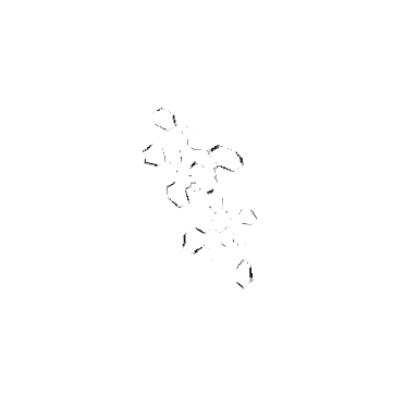 c1ccc(Oc2cc3c4c5c2c2ccccc2n5-c2cc5c(cc2B4c2ccccc2S3)B2c3ccccc3N(c3ccccc3)c3cc(Oc4ccccc4)c4c6ccccc6n-5c4c32)cc1